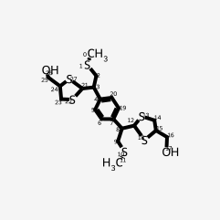 CSCC(c1ccc(C(CSC)C2SCC(CO)S2)cc1)C1SCC(CO)S1